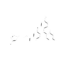 CC(C)(C)c1cn(CCNC(=O)c2ccc(-c3c4ccc(=O)cc-4oc4cc(O)ccc34)c(C(=O)O)c2)nn1